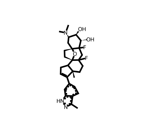 Cc1n[nH]c2cc(C3=CCC4[C@@]56CC[C@]7(C[C@H](N(C)C)[C@@H](O)[C@H](O)C7(F)CC5(F)CC[C@]34C)O6)ccc12